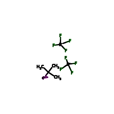 CC(C)(C)[P+2].F[B-](F)(F)F.F[B-](F)(F)F